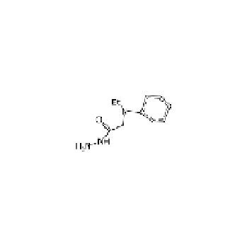 CCN(CC(=O)NN)c1ccccc1